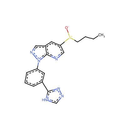 CCCC[S+]([O-])c1cnc2c(cnn2-c2cccc(-c3nnc[nH]3)c2)c1